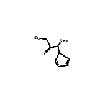 COC(C(=O)CC(C)(C)C)C1C=CC=C1